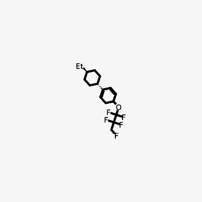 CC[C@H]1CC[C@H](C2=CCC(OC(F)(F)C(F)(F)CF)C=C2)CC1